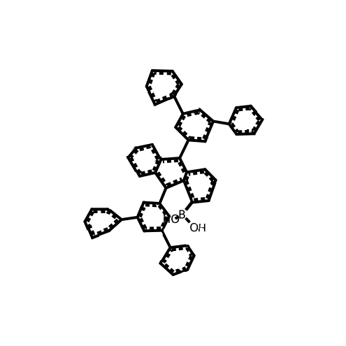 OB(O)c1cccc2c(-c3cc(-c4ccccc4)cc(-c4ccccc4)c3)c3ccccc3c(-c3cc(-c4ccccc4)cc(-c4ccccc4)c3)c12